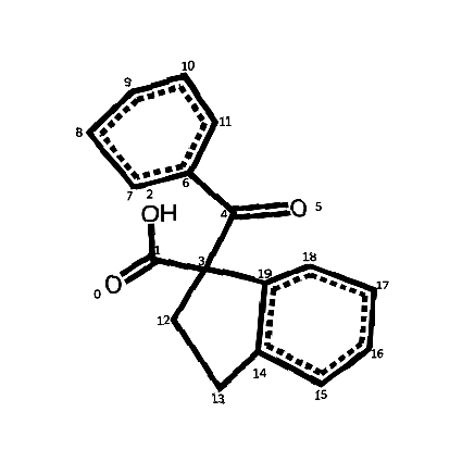 O=C(O)C1(C(=O)c2ccccc2)CCc2ccccc21